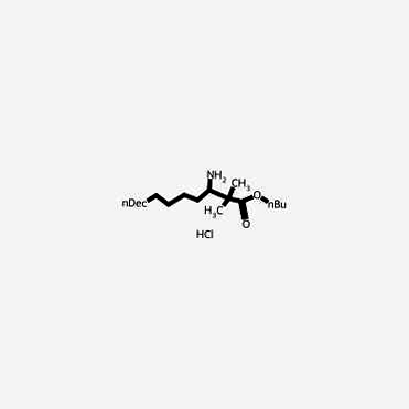 CCCCCCCCCCCCCCC(N)C(C)(C)C(=O)OCCCC.Cl